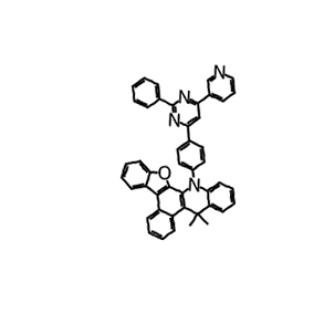 CC1(C)c2ccccc2N(c2ccc(-c3cc(-c4cccnc4)nc(-c4ccccc4)n3)cc2)c2c1c1ccccc1c1c2oc2ccccc21